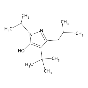 CC(C)Cc1nn(C(C)C)c(O)c1C(C)(C)C